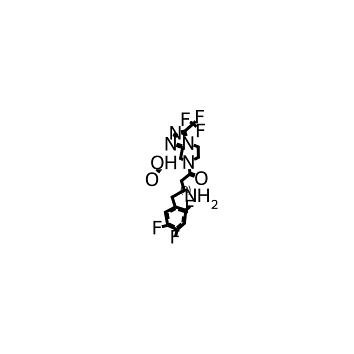 N[C@@H](CC(=O)N1CCn2c(nnc2C(F)(F)F)C1)Cc1cc(F)c(F)cc1F.O=CO